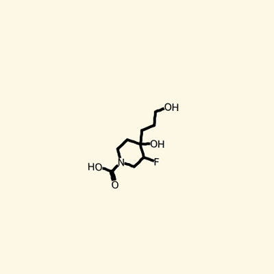 O=C(O)N1CCC(O)(CCCO)C(F)C1